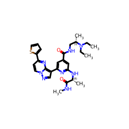 CCN(CC)[C@@H](C)CNC(=O)c1cc(N[C@H](C)C(=O)NC)nc(-c2cnn3ccc(-c4cccs4)nc23)c1